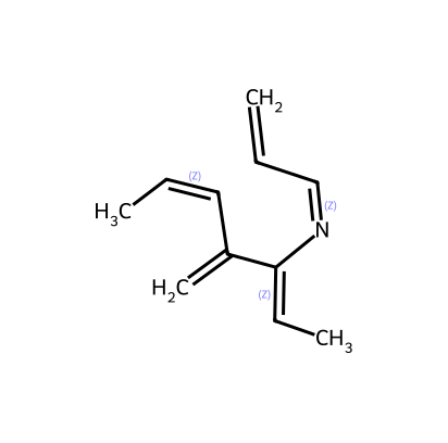 C=C/C=N\C(=C/C)C(=C)/C=C\C